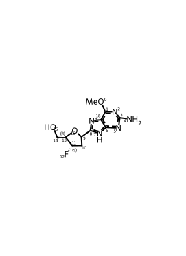 COc1nc(N)nc2[nH]c(C3C[C@H](F)[C@@H](CO)O3)nc12